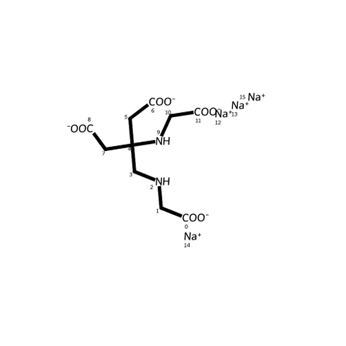 O=C([O-])CNCC(CC(=O)[O-])(CC(=O)[O-])NCC(=O)[O-].[Na+].[Na+].[Na+].[Na+]